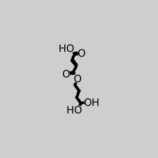 O=C(O)C=CC(=O)OCCCC(O)O